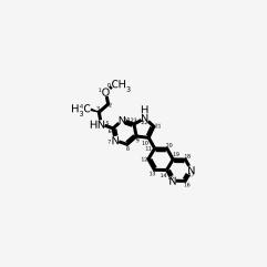 COC[C@H](C)Nc1ncc2c(-c3ccc4ncncc4c3)c[nH]c2n1